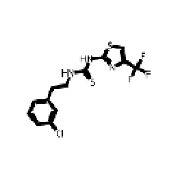 FC(F)(F)c1csc(NC(=S)NCCc2cccc(Cl)c2)n1